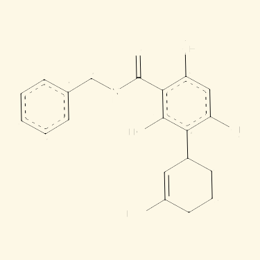 CC1=CC(c2c(O)cc(C)c(C(=O)NCc3ccccc3)c2O)CCC1